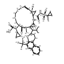 CC(C)C1[C@H]2C(=O)N[C@]3(C(=O)NS(=O)(=O)C4(C)CC4)C[C@H]3/C=C\CCCCC[C@H](N(C(=O)O)C3CC3)C(=O)N2C[C@@]12CCc1c(c(C(F)(F)F)nc3ccccc13)O2